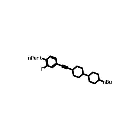 CCCCCc1ccc(C#CC2CCC(C3CCC(CCCC)CC3)CC2)cc1F